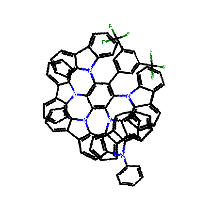 FC(F)(F)c1cc(-c2c(-n3c4ccccc4c4ccccc43)c(-n3c4ccccc4c4ccccc43)c(-n3c4ccccc4c4ccc5c(c6ccccc6n5-c5ccccc5)c43)c(-n3c4ccccc4c4ccccc43)c2-n2c3ccccc3c3ccccc32)cc(C(F)(F)F)c1